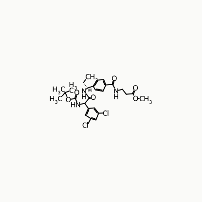 CC[C@@H](NC(=O)C(NC(=O)OC(C)(C)C)c1cc(Cl)cc(Cl)c1)c1ccc(C(=O)NCCC(=O)OC)cc1